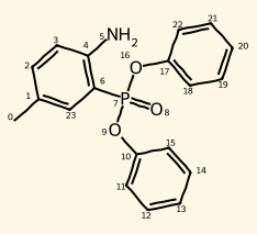 Cc1ccc(N)c(P(=O)(Oc2ccccc2)Oc2ccccc2)c1